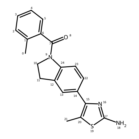 Cc1ccccc1C(=O)N1CCc2cc(-c3nc(N)sc3C)ccc21